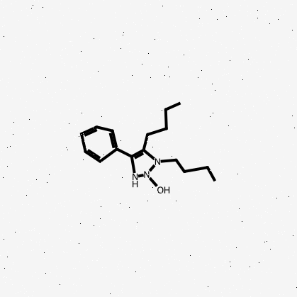 CCCCC1=C(c2ccccc2)NN(O)N1CCCC